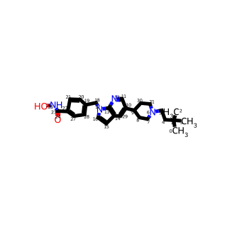 CC(C)(C)CCN1CCC(c2cnc3c(ccn3Cc3ccc(C(=O)NO)cc3)c2)CC1